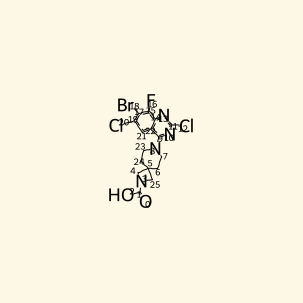 O=C(O)N1CC2(CCN(c3nc(Cl)nc4c(F)c(Br)c(Cl)cc34)CC2)C1